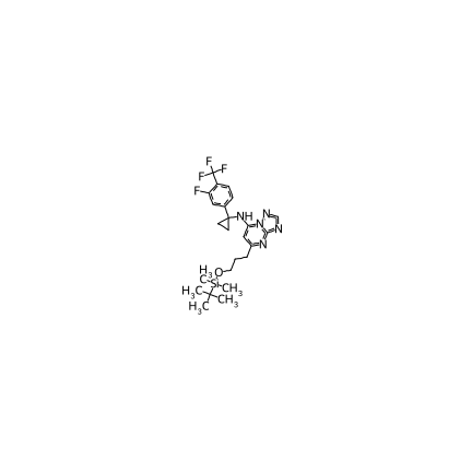 CC(C)(C)[Si](C)(C)OCCCc1cc(NC2(c3ccc(C(F)(F)F)c(F)c3)CC2)n2ncnc2n1